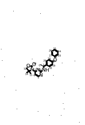 C[C@H](Nc1nccc(N2C(=O)OCC2(C)C)n1)c1ccc(Oc2ccccc2)cc1